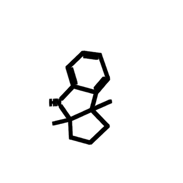 CC12CCCC1(C)c1ccccc1N2